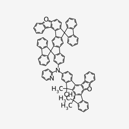 CC1(C)c2ccccc2-c2c1c1c(c3c2oc2ccccc23)-c2ccc(N(c3ccc4c(c3)C3(c5ccccc5-c5ccccc53)c3cc5c(cc3-4)C3(c4ccccc4-c4ccccc43)c3ccc4oc6ccccc6c4c3-5)c3ccccn3)cc2C1(C)C